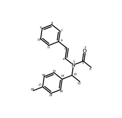 CC(=O)N(C=Cc1ccccc1)C(C)c1ccc(C)cc1